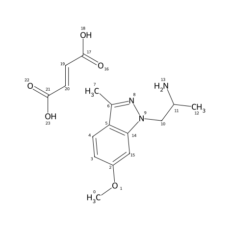 COc1ccc2c(C)nn(CC(C)N)c2c1.O=C(O)C=CC(=O)O